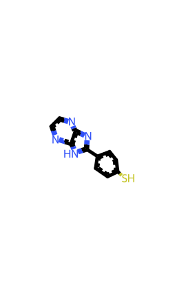 Sc1ccc(-c2nc3nccnc3[nH]2)cc1